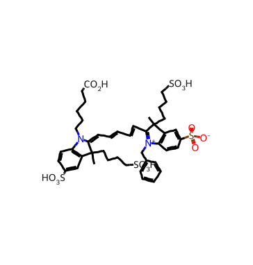 CC1(CCCCS(=O)(=O)O)C(/C=C/C=C/C=C2/N(CCCCCC(=O)O)c3ccc(S(=O)(=O)O)cc3C2(C)CCCCS(=O)(=O)O)=[N+](Cc2ccccc2)c2ccc(S(=O)(=O)[O-])cc21